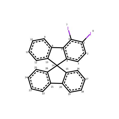 Ic1ccc2c(c1I)-c1ccccc1C21c2ccccc2-c2ccccc21